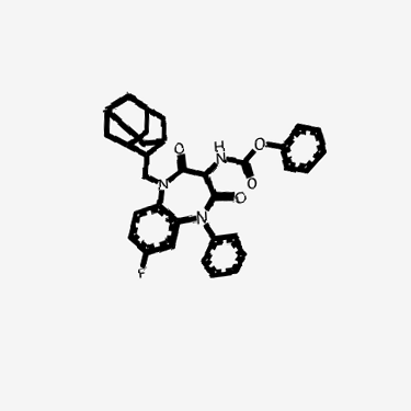 O=C(NC1C(=O)N(CC2C3CC4CC(C3)CC2C4)c2ccc(F)cc2N(c2ccccc2)C1=O)Oc1ccccc1